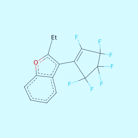 CCc1oc2ccccc2c1C1=C(F)C(F)(F)C(F)(F)C1(F)F